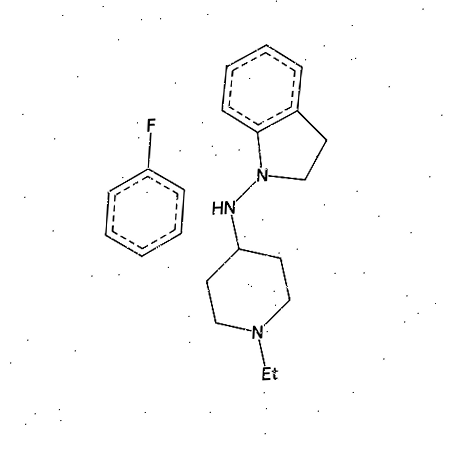 CCN1CCC(NN2CCc3ccccc32)CC1.Fc1ccccc1